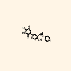 N#Cc1nnc(-c2c[nH]c(=O)[nH]c2=O)cc1[C@H]1C[C@@H]1c1ccncc1